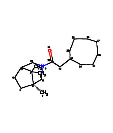 CC1(C)C2CC[C@]1(C)CN(C(=O)CC1CCCCCCC1)C2